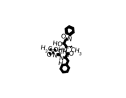 CC[C@H](NC(=O)C(CC1CCCCC1)NC(C)=NS(C)(=O)=O)C(O)c1nc2ccccc2o1